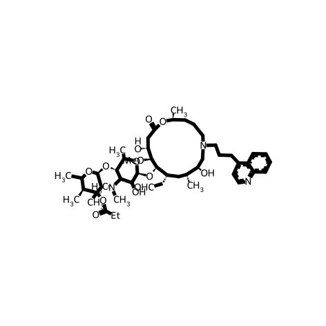 CCC(=O)OC1(C)C[C@H](O[C@@H]2C(C)O[C@@H](O[C@H]3[C@@H](CC=O)C[C@@H](C)[C@@H](O)CN(CCCc4ccnc5ccccc45)CCC[C@@H](C)OC(=O)C[C@@H](O)[C@@H]3OC)C(O)C2N(C)C)OC(C)[C@@H]1C